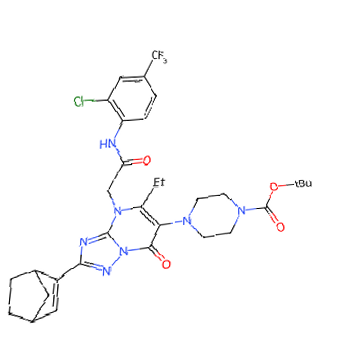 CCc1c(N2CCN(C(=O)OC(C)(C)C)CC2)c(=O)n2nc(C3=CC4CCC3C4)nc2n1CC(=O)Nc1ccc(C(F)(F)F)cc1Cl